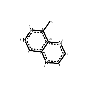 Cc1nncc2nccnc12